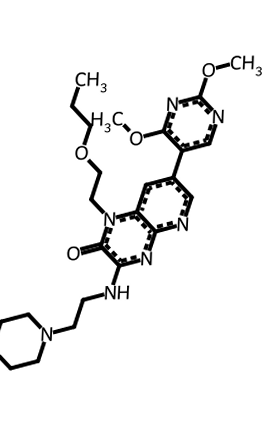 CCCOCCn1c(=O)c(NCCN2CCOCC2)nc2ncc(-c3cnc(OC)nc3OC)cc21